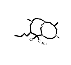 CCCCC1CN(C)CCN2CCN(CCN(C)CC(C)C2)C1(Cl)Cl.[Mn]